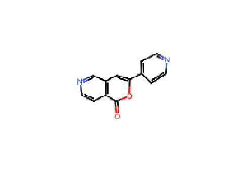 O=c1oc(-c2ccncc2)cc2cnccc12